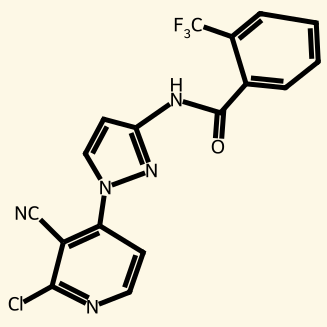 N#Cc1c(-n2ccc(NC(=O)c3ccccc3C(F)(F)F)n2)ccnc1Cl